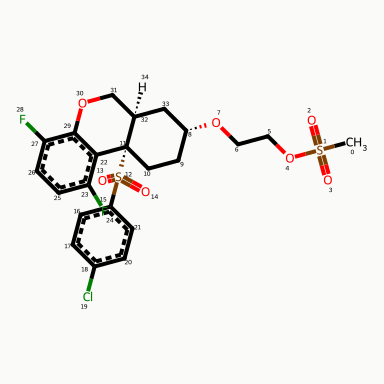 CS(=O)(=O)OCCO[C@@H]1CC[C@@]2(S(=O)(=O)c3ccc(Cl)cc3)c3c(F)ccc(F)c3OC[C@H]2C1